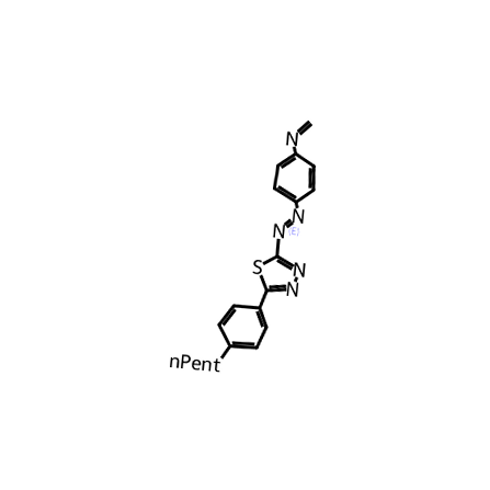 C=Nc1ccc(/N=N/c2nnc(-c3ccc(CCCCC)cc3)s2)cc1